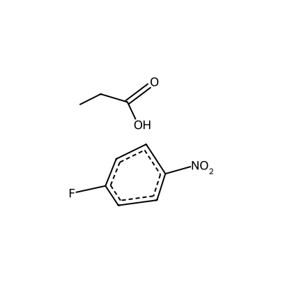 CCC(=O)O.O=[N+]([O-])c1ccc(F)cc1